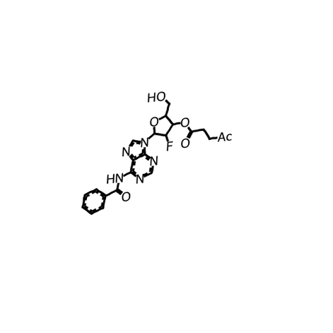 CC(=O)CCC(=O)OC1C(CO)OC(n2cnc3c(NC(=O)c4ccccc4)ncnc32)C1F